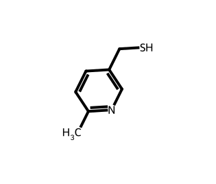 Cc1ccc(CS)cn1